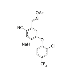 CC(=O)ON=Cc1cc(Oc2ccc(C(F)(F)F)cc2Cl)ccc1C#N.[NaH]